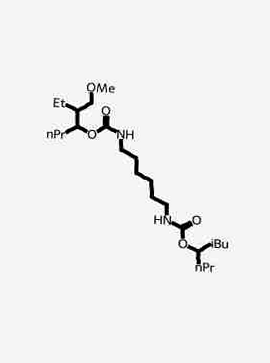 CCCC(OC(=O)NCCCCCCNC(=O)OC(CCC)C(CC)COC)C(C)CC